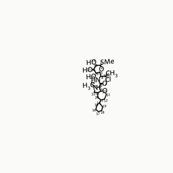 CSC1OC(C(NC(=O)C2C3OCCC(C4CCCCC4)CC3CN2C)C(C)Cl)C(O)C(O)C1O